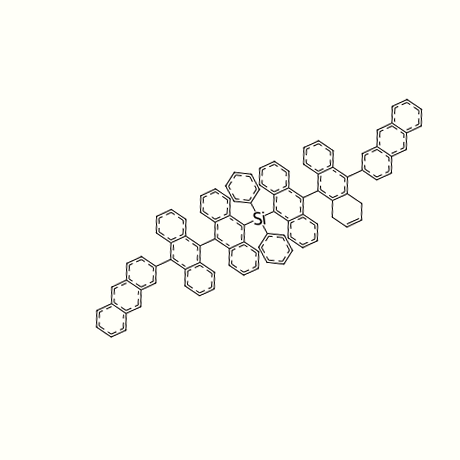 C1=CCc2c(c(-c3ccc4cc5ccccc5cc4c3)c3ccccc3c2-c2c3ccccc3c([Si](c3ccccc3)(c3ccccc3)c3c4ccccc4c(-c4c5ccccc5c(-c5ccc6cc7ccccc7cc6c5)c5ccccc45)c4ccccc34)c3ccccc23)C1